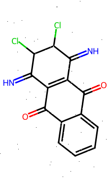 N=C1C2=C(C(=N)C(Cl)C1Cl)C(=O)c1ccccc1C2=O